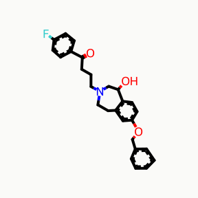 O=C(CCCN1CCc2cc(OCc3ccccc3)ccc2C(O)C1)c1ccc(F)cc1